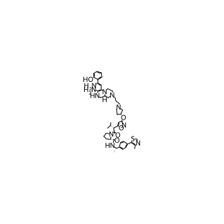 Cc1ncsc1-c1ccc([C@H](C)NC(=O)[C@@H]2CCCN2C(=O)[C@@H](c2cc(OC3CCN(CCCN4CCN5C(/C=C(\N)c6ccccc6O)=C(N)NC[C@H]5C4)C3)no2)C(C)C)cc1